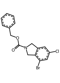 O=C(OCc1ccccc1)N1Cc2cc(Cl)cc(Br)c2C1